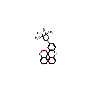 CC1(C)OB(c2ccc3c(c2)C2(c4ccccc4Oc4ccccc42)c2ccccc2O3)OC1(C)C